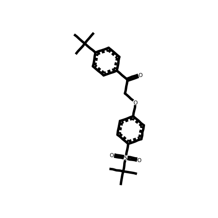 CC(C)(C)c1ccc(C(=O)COc2ccc(S(=O)(=O)C(C)(C)C)cc2)cc1